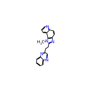 Cn1c(CCc2cnc3ccccc3n2)nc2ccc3ncccc3c21